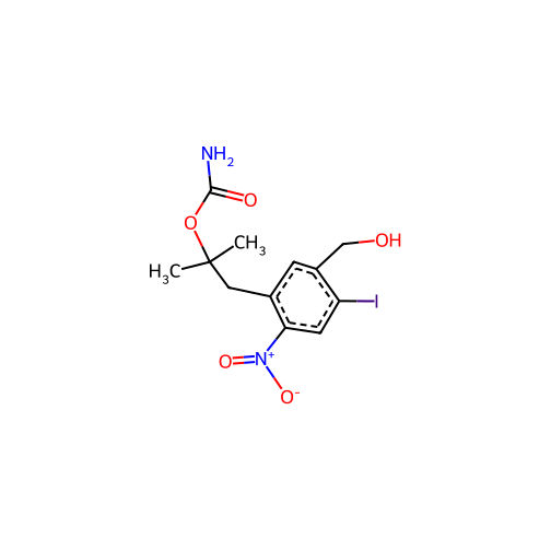 CC(C)(Cc1cc(CO)c(I)cc1[N+](=O)[O-])OC(N)=O